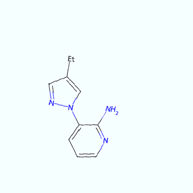 CCc1cnn(-c2cccnc2N)c1